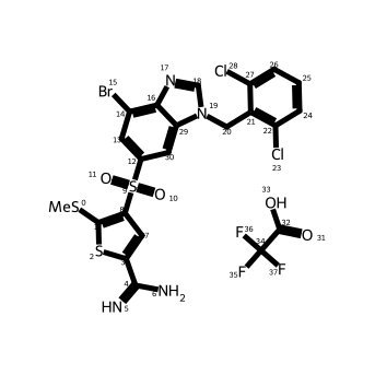 CSc1sc(C(=N)N)cc1S(=O)(=O)c1cc(Br)c2ncn(Cc3c(Cl)cccc3Cl)c2c1.O=C(O)C(F)(F)F